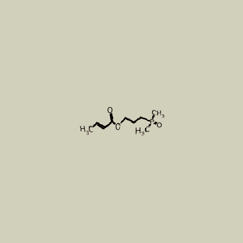 CC=CC(=O)OCCCP(C)(C)=O